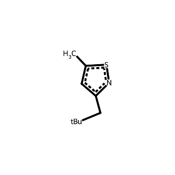 Cc1cc(CC(C)(C)C)ns1